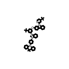 CC(C)(C)c1cc(Oc2ccc3c4ccccc4n(-c4cc(C(C)(C)C)ccn4)c3c2)cc(-n2c[n+](-c3ccc(N4c5ccccc5C(C)(C)c5ccccc54)cc3)c3ccccc32)c1